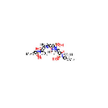 COc1ccc(N=Nc2c(S(=O)(=O)O)cc3cc(N=Nc4c(S(=O)(=O)O)cc5cc(SOOO)c(N=Nc6ccc7c(O)c(N=Nc8ccc(OC)cc8S(=O)(=O)O)c(SOOO)cc7c6S(=O)(=O)O)c(N)c5c4O)ccc3c2O)c(SOOO)c1